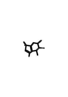 C[C]1C=C(C)C2=C1CC(C)C(C)C2C